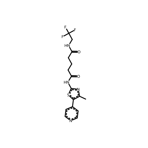 Cc1nc(NC(=O)CCCC(=O)NCC(F)(F)F)sc1-c1ccncc1